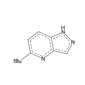 CC(C)(C)c1ccc2[nH]ncc2n1